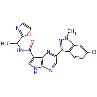 CC(NC(=O)c1c[nH]c2ncc(-c3nn(C)c4cc(Cl)ccc34)nc12)c1ncco1